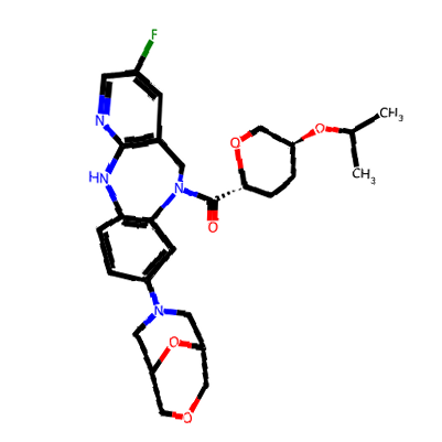 CC(C)O[C@H]1CC[C@H](C(=O)N2Cc3cc(F)cnc3Nc3ccc(N4CC5COCC(C4)O5)cc32)OC1